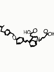 CC(C)Cc1ccc(COc2ccc(C=Cc3cccc4c3c(CC(=O)O)cn4CCCC(=O)O)cc2)cc1